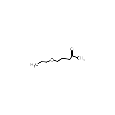 CCCOCCCC(C)=O